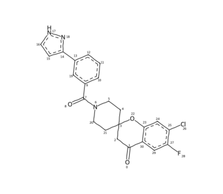 O=C1CC2(CCN(C(=O)c3cccc(-c4cc[nH]n4)c3)CC2)Oc2cc(Cl)c(F)cc21